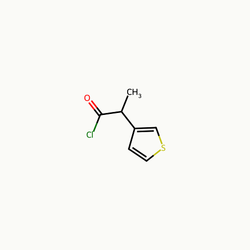 CC(C(=O)Cl)c1ccsc1